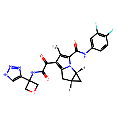 Cc1c(C(=O)C(=O)NC2(c3c[nH]nn3)COC2)c2n(c1C(=O)Nc1ccc(F)c(F)c1)[C@@H]1C[C@@H]1C2